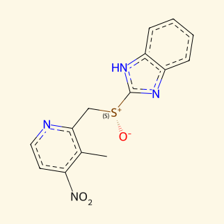 Cc1c([N+](=O)[O-])ccnc1C[S@@+]([O-])c1nc2ccccc2[nH]1